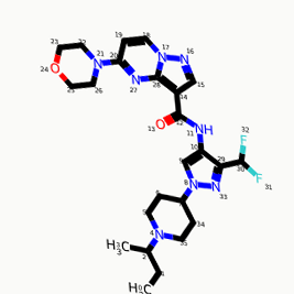 CCC(C)N1CCC(n2cc(NC(=O)c3cnn4ccc(N5CCOCC5)nc34)c(C(F)F)n2)CC1